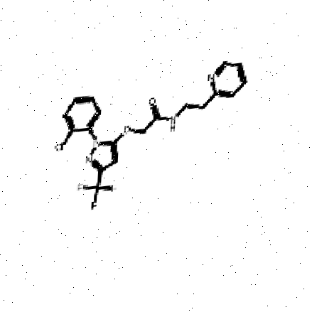 O=C(COc1cc(C(F)(F)F)nn1-c1ccccc1Cl)NCCc1ccccn1